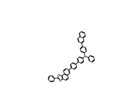 c1ccc(-c2nc3ccc4cc(-c5ccc(-c6ccc(N(c7ccccc7)c7ccc(-c8ccc9ccccc9c8)cc7)cc6)cc5)ccc4c3o2)cc1